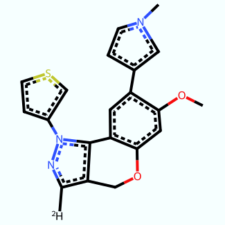 [2H]c1nn(-c2ccsc2)c2c1COc1cc(OC)c(-c3ccn(C)c3)cc1-2